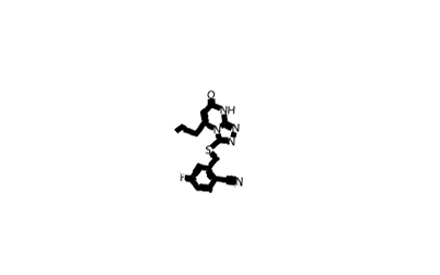 CCCc1cc(=O)[nH]c2nnc(SCc3cc(F)ccc3C#N)n12